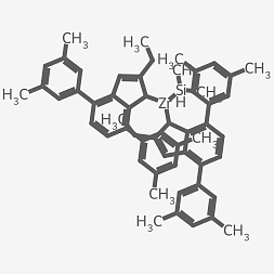 CCC1=Cc2c(-c3cc(C)cc(C)c3)ccc(-c3cc(C)cc(C)c3)c2[CH]1[Zr]([CH]1C(CC)=Cc2c(-c3cc(C)cc(C)c3)ccc(-c3cc(C)cc(C)c3)c21)[SiH](C)C